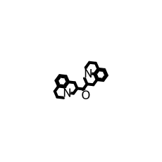 O=C(C1Cc2cccc3c2N(CCC3)C1)C1Cc2cccc3c2N(CCC3)C1